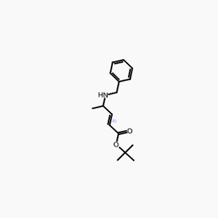 CC(/C=C/C(=O)OC(C)(C)C)NCc1ccccc1